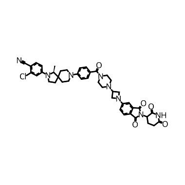 C[C@@H]1N(c2ccc(C#N)c(Cl)c2)CCC12CCN(c1ccc(C(=O)N3CCN(C4CN(c5ccc6c(c5)C(=O)N(C5CCC(=O)NC5=O)C6=O)C4)CC3)cc1)CC2